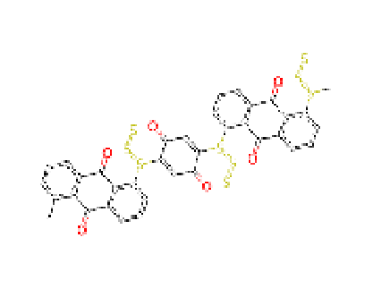 Cc1cccc2c1C(=O)c1cccc(S(=S=S)C3=CC(=O)C(S(=S=S)c4cccc5c4C(=O)c4cccc(S(C)=S=S)c4C5=O)=CC3=O)c1C2=O